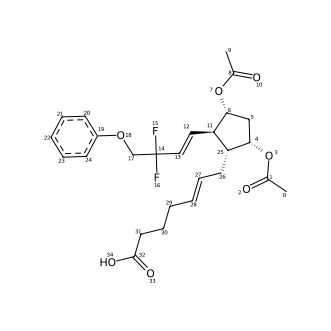 CC(=O)O[C@H]1C[C@@H](OC(C)=O)[C@H](C=CC(F)(F)COc2ccccc2)[C@H]1CC=CCCCC(=O)O